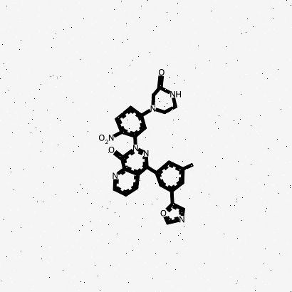 Cc1cc(-c2cnco2)cc(-c2nn(-c3cc(N4CCNC(=O)C4)ccc3[N+](=O)[O-])c(=O)c3ncccc23)c1